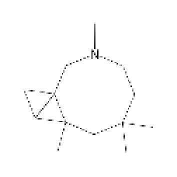 CN1CCC(C)(C)CC2(C)C3CC32C1